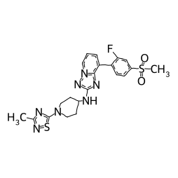 Cc1nsc(N2CCC(Nc3nc4c(-c5ccc(S(C)(=O)=O)cc5F)cccn4n3)CC2)n1